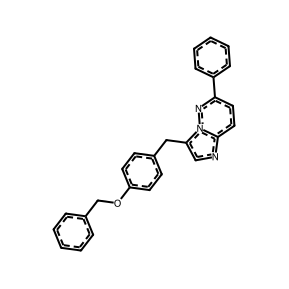 c1ccc(COc2ccc(Cc3cnc4ccc(-c5ccccc5)nn34)cc2)cc1